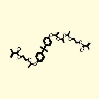 C=C(C)C(=O)OCCOC(C)Oc1ccc(C(C)(C)c2ccc(OC(C)OC(C)OC(C)OCCOC(=O)C(=C)C)cc2)cc1